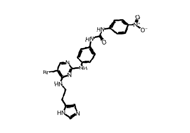 O=C(Nc1ccc(Nc2ncc(Br)c(NCCc3cnc[nH]3)n2)cc1)Nc1ccc([N+](=O)[O-])cc1